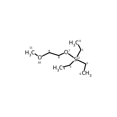 CC[Si](CC)(CC)OCCOC